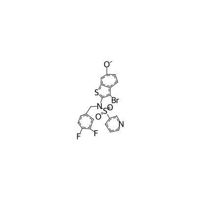 COc1ccc2c(Br)c(N(Cc3ccc(F)c(F)c3)S(=O)(=O)c3cccnc3)sc2c1